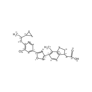 Cc1c(-c2noc(-c3cnc(OC(C)C4CC4)c(Cl)c3)n2)ccc2c1CCC2CC(=O)O